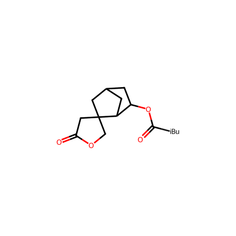 CCC(C)C(=O)OC1CC2CC1C1(COC(=O)C1)C2